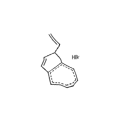 Br.C=CC1C=Cc2ccccc21